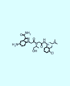 CC(CO)N(CC(=O)N[C@H](CCN(C)C)c1cccc(Cl)c1F)C(=O)Cn1nc(C(N)=O)c2cc(N)ccc21